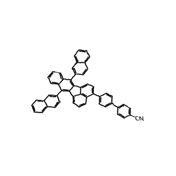 N#Cc1ccc(-c2ccc(-c3ccc4c5c(cccc35)-c3c-4c(-c4ccc5ccccc5c4)c4ccccc4c3-c3ccc4ccccc4c3)cc2)cc1